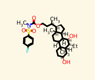 CC[C@H]1[C@@H](O)[C@@H]2[C@H](CC[C@]3(C)[C@@H]([C@H](C)CCOC(=O)N(C)S(=O)(=O)c4ccc(F)cc4)CC[C@@H]23)C2(C)CC[C@@H](O)C[C@@H]12